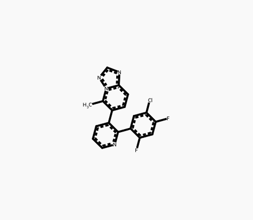 Cc1c(-c2cccnc2-c2cc(Cl)c(F)cc2F)ccc2ncnn12